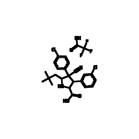 CC(C)(C)CC1NC(C(=O)O)C(c2cccc(Cl)c2)C1(C#N)c1ccc(Cl)cc1.O=C(O)C(F)(F)F